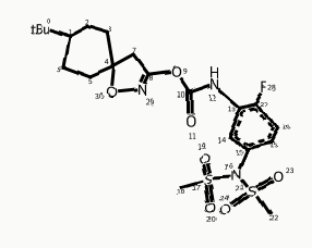 CC(C)(C)C1CCC2(CC1)CC(OC(=O)Nc1cc(N(S(C)(=O)=O)S(C)(=O)=O)ccc1F)=NO2